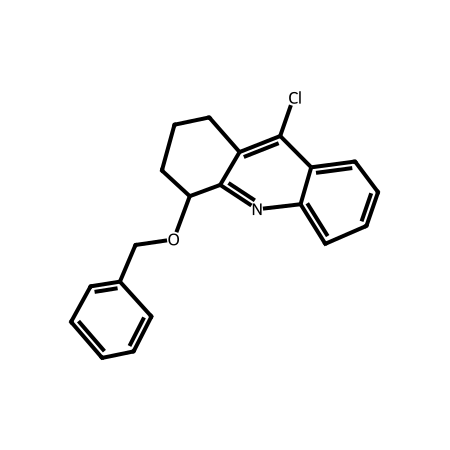 Clc1c2c(nc3ccccc13)C(OCc1ccccc1)CCC2